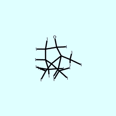 [O]C1(I)C(I)(I)C2(I)C(I)(I)C(I)(I)C1(C(I)(I)I)C2(C(I)(I)I)C(I)(I)I